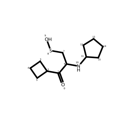 O=C(C1CCC1)C(CSO)NC1CCCC1